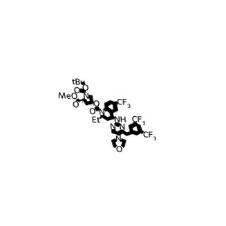 CC[C@@H]1C[C@H](Nc2ncc(N3CCOCC3)c(Cc3cc(C(F)(F)F)cc(C(F)(F)F)c3)n2)c2cc(C(F)(F)F)ccc2N1C(=O)O[C@@H]1C[C@@H](C(=O)OC)N(C(=O)OC(C)(C)C)C1